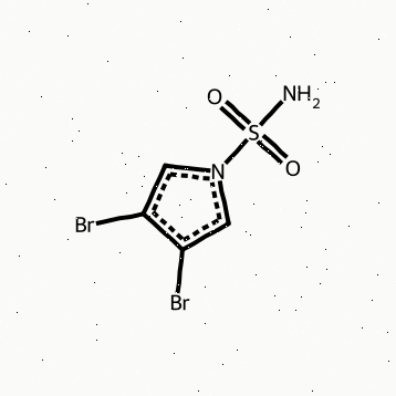 NS(=O)(=O)n1cc(Br)c(Br)c1